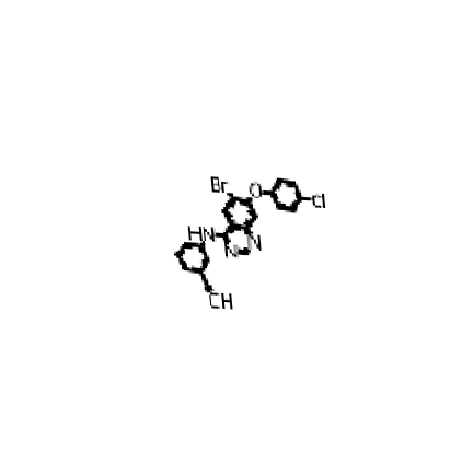 C#Cc1cccc(Nc2ncnc3cc(Oc4ccc(Cl)cc4)c(Br)cc23)c1